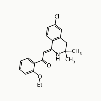 CCOc1ccccc1C(=O)C=C1NC(C)(C)Cc2cc(Cl)ccc21